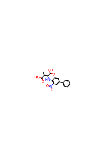 CC(C(=O)O)=C(Nc1ccc(-c2ccccc2)cc1[N+](=O)[O-])C(=O)O